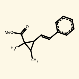 COC(=O)C1(C)C(C)C1C=Cc1ccccc1